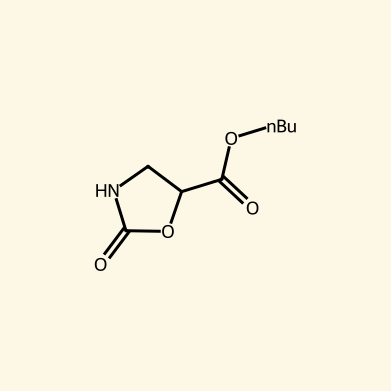 CCCCOC(=O)C1CNC(=O)O1